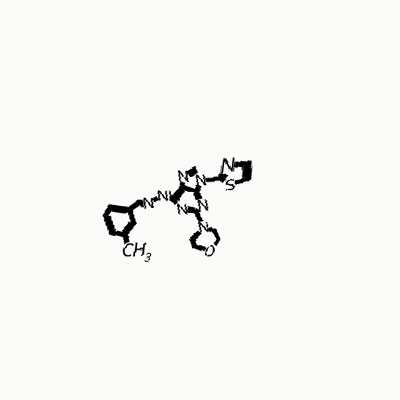 Cc1cccc(C=NNc2nc(N3CCOCC3)nc3c2ncn3-c2nccs2)c1